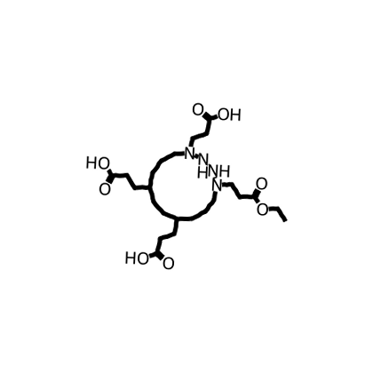 CCOC(=O)CCN1CCCC(CCC(=O)O)CCC(CCC(=O)O)CCCN(CCC(=O)O)NN1